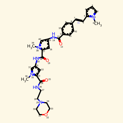 Cn1cccc1/C=C/c1ccc(C(=O)Nc2cc(C(=O)Nc3cc(C(=O)NCCN4CCOCC4)n(C)c3)n(C)c2)cc1